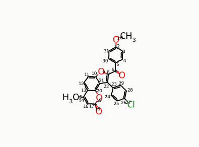 COc1ccc(C(=O)c2oc3ccc4c(C)cc(=O)oc4c3c2-c2ccc(Cl)cc2)cc1